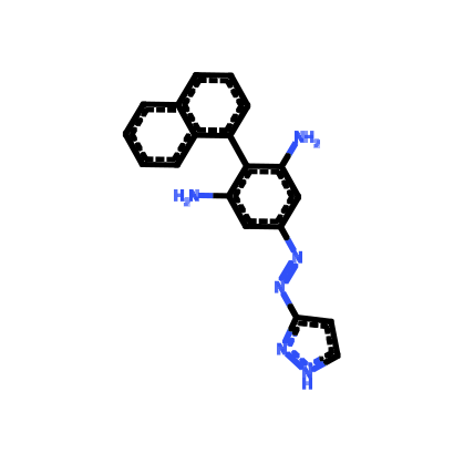 Nc1cc(N=Nc2cc[nH]n2)cc(N)c1-c1cccc2ccccc12